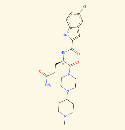 CN1CCC(N2CCN(C(=O)[C@@H](CCC(N)=O)NC(=O)c3cc4cc(Cl)ccc4[nH]3)CC2)CC1